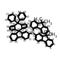 CC1(C)c2ccccc2-c2ccc(N(c3ccc4c(c3)C3(c5ccccc5-4)c4ccccc4C(c4ccccc4)(c4ccccc4)c4ccccc43)c3cccc4c3-c3ccccc3C4(C)C)cc21